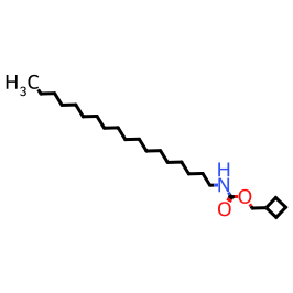 CCCCCCCCCCCCCCCCCCNC(=O)OCC1CCC1